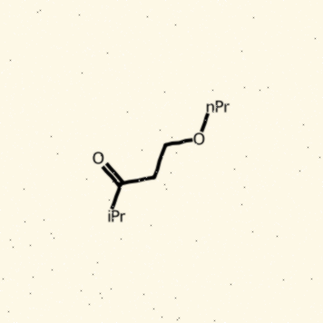 CCCOCCC(=O)C(C)C